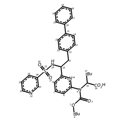 CC(C)(C)OC(=O)N(c1cccc(C(Cc2ccc(-c3ccccc3)cc2)NS(=O)(=O)c2cccnc2)n1)C(C(=O)O)C(C)(C)C